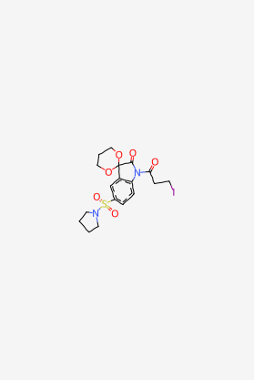 O=C(CCI)N1C(=O)C2(OCCCO2)c2cc(S(=O)(=O)N3CCCC3)ccc21